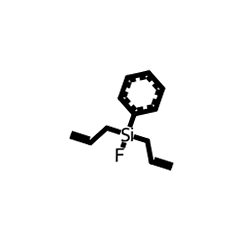 C=CC[Si](F)(CC=C)c1ccccc1